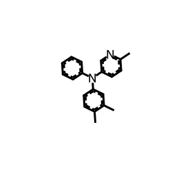 Cc1ccc(N(c2ccccc2)c2ccc(C)c(C)c2)cn1